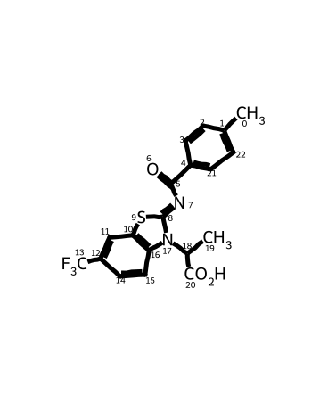 Cc1ccc(C(=O)N=c2sc3cc(C(F)(F)F)ccc3n2C(C)C(=O)O)cc1